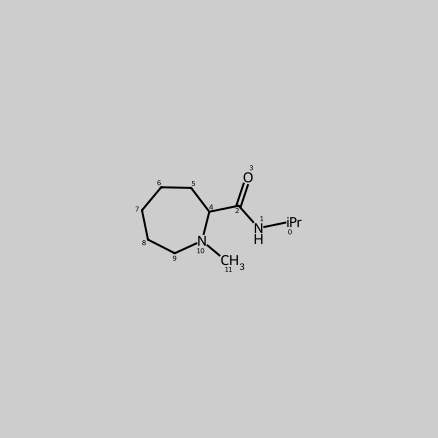 CC(C)NC(=O)C1CCCCCN1C